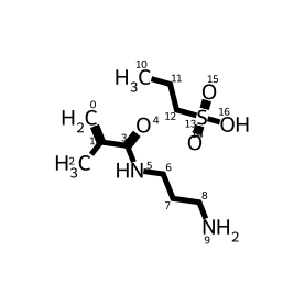 C=C(C)C(=O)NCCCN.CCCS(=O)(=O)O